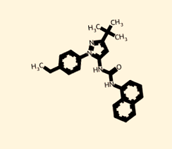 CCc1ccc(-n2nc(C(C)(C)C)cc2NC(=O)Nc2cccc3ccccc23)cc1